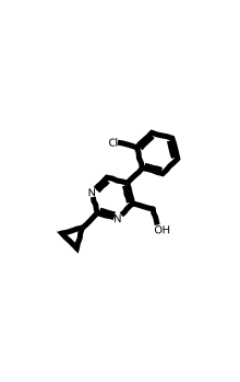 OCc1nc(C2CC2)ncc1-c1ccccc1Cl